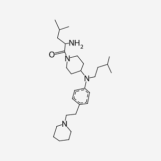 CC(C)CCN(c1ccc(CCN2CCCCC2)cc1)C1CCN(C(=O)C(N)CC(C)C)CC1